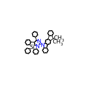 CC1(C)c2ccccc2-c2cc3c(cc21)c1ccccc1n3-c1nc(-c2ccccc2)c2c(n1)[Si](c1ccccc1)(c1ccccc1)c1ccccc1-2